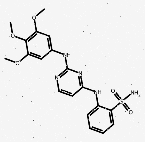 COc1cc(Nc2nccc(Nc3ccccc3S(N)(=O)=O)n2)cc(OC)c1OC